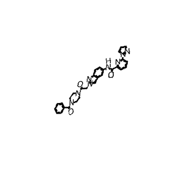 O=C(Nc1ccc2nn(CC(=O)N3CCN(C(=O)c4ccccc4)CC3)cc2c1)c1cccc(-n2cccn2)n1